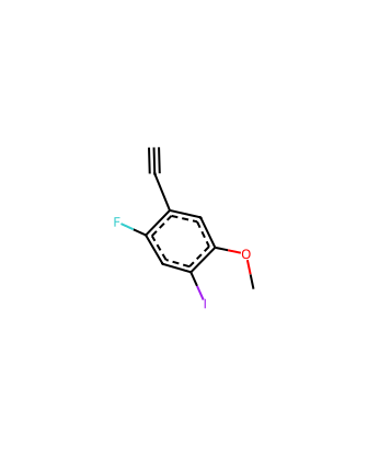 C#Cc1cc(OC)c(I)cc1F